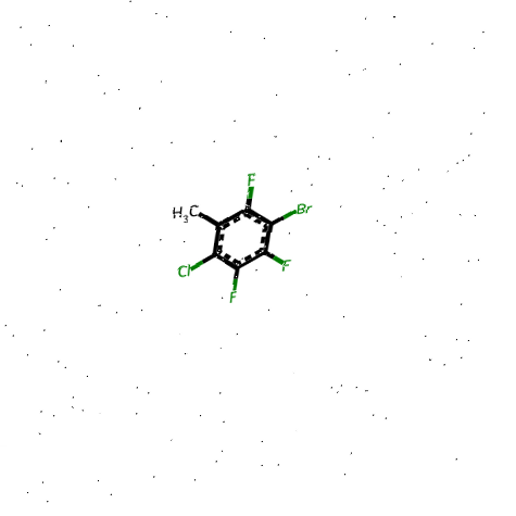 Cc1c(F)c(Br)c(F)c(F)c1Cl